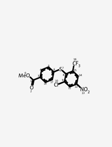 COC(=O)c1ccc(Sc2c(Cl)cc([N+](=O)[O-])cc2C(F)(F)F)cc1